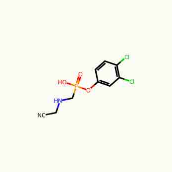 N#CCNCP(=O)(O)Oc1ccc(Cl)c(Cl)c1